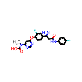 CN(C(=O)O)c1cc(Oc2ccc(C(N)CC(=O)Nc3ccc(F)cc3)cc2F)ncn1